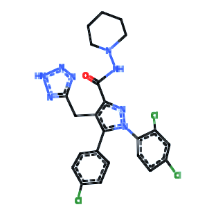 O=C(NN1CCCCC1)c1nn(-c2ccc(Cl)cc2Cl)c(-c2ccc(Cl)cc2)c1Cc1nn[nH]n1